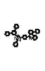 c1ccc(-c2cc(-c3ccccc3)cc(-c3nc(-c4ccccc4)nc(-c4ccc(-c5nc6ccccc6c6c(-c7ccccc7)cccc56)cc4)n3)c2)cc1